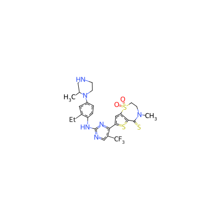 CCc1cc(N2CCNCC2C)ccc1Nc1ncc(C(F)(F)F)c(-c2cc3c(s2)C(=S)N(C)CCS3(=O)=O)n1